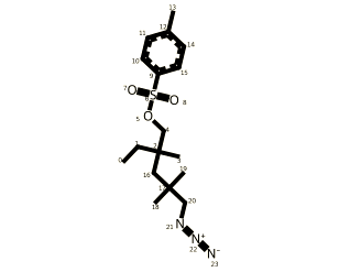 CCC(C)(COS(=O)(=O)c1ccc(C)cc1)CC(C)(C)CN=[N+]=[N-]